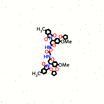 COc1ccc(C(CC(=O)NCC(=O)ONC(=O)CC(c2ccc(OC)c(OC3CCCC3)c2)N2C(=O)c3ccc(C)cc3C2=O)N2C(=O)c3ccc(C)cc3C2=O)cc1OC1CCCC1